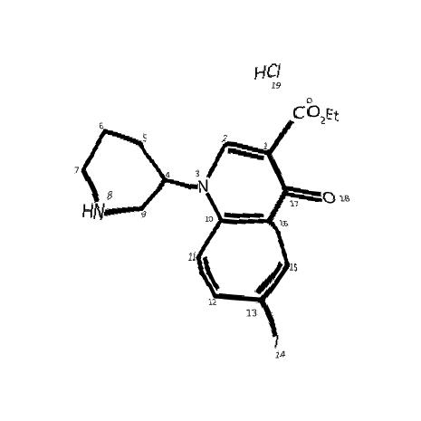 CCOC(=O)c1cn(C2CCCNC2)c2ccc(I)cc2c1=O.Cl